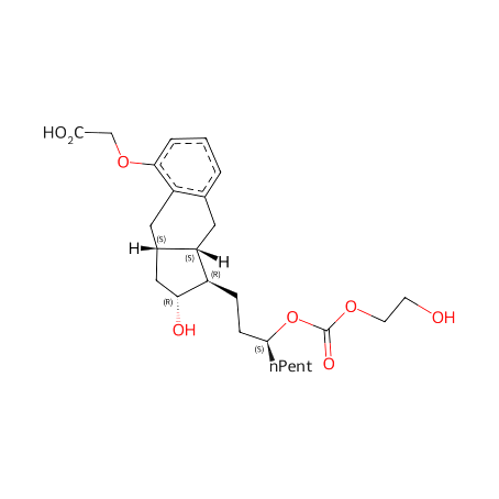 CCCCC[C@@H](CC[C@@H]1[C@H]2Cc3cccc(OCC(=O)O)c3C[C@H]2C[C@H]1O)OC(=O)OCCO